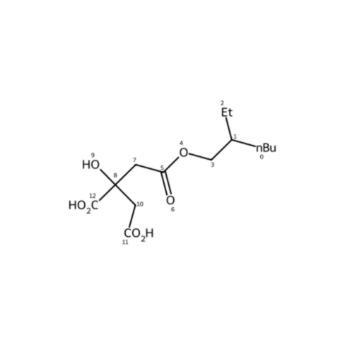 CCCCC(CC)COC(=O)CC(O)(CC(=O)O)C(=O)O